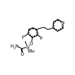 CC(C)(C)[Si](C)(Oc1c(F)ccc([CH]Cc2ccncc2)c1F)C(N)=O